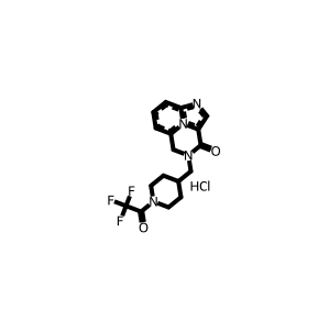 Cl.O=C1c2cnc3cccc(n23)CN1CC1CCN(C(=O)C(F)(F)F)CC1